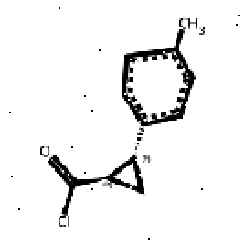 Cc1ccc([C@@H]2C[C@H]2C(=O)Cl)cc1